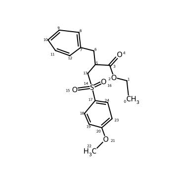 CCOC(=O)C(Cc1ccccc1)CS(=O)(=O)c1ccc(OC)cc1